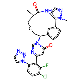 C[C@@H]1CCC[C@H](n2cnc(-c3c(-n4ccnn4)ccc(Cl)c3F)cc2=O)c2cccc(c2)-c2c(cnn2C)NC1=O